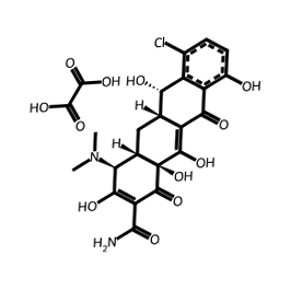 CN(C)[C@@H]1C(O)=C(C(N)=O)C(=O)[C@@]2(O)C(O)=C3C(=O)c4c(O)ccc(Cl)c4[C@@H](O)[C@H]3C[C@@H]12.O=C(O)C(=O)O